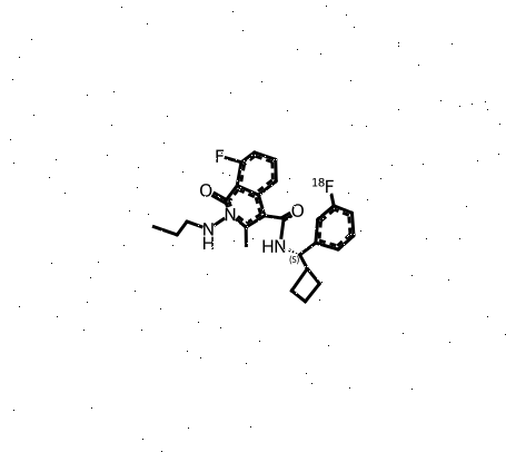 CCCNn1c(C)c(C(=O)N[C@H](c2cccc([18F])c2)C2CCC2)c2cccc(F)c2c1=O